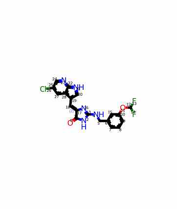 O=C1NC(NCc2cccc(OC(F)F)c2)=N/C1=C\c1c[nH]c2ncc(Cl)cc12